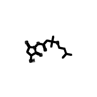 CC(C)CCOC(C)(C)CC(=O)ON1C(=O)CC(O)C1=O